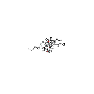 O=C(O)C1=C\CC/C=C(C#Cc2cc(Cl)ccc2NS(=O)(=O)c2ccc(OCC(F)(F)F)c3cccnc23)/C=C\1